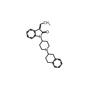 C/C=C1\C(=O)N(C2CCN(C3CCc4ccccc4C3)CC2)c2ccccc21